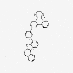 c1cc(-c2ccc3c(c2)c2ccccc2c2nccnc32)cc(-c2cccc3c2oc2ccc4ccccc4c23)c1